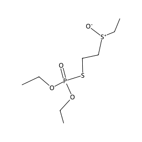 CCOP(=O)(OCC)SCC[S+]([O-])CC